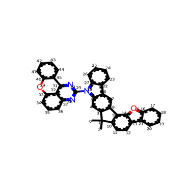 CC1(C)c2cc3c(cc2-c2c1ccc1c2oc2ccccc21)c1ccccc1n3-c1nc2c3c(cccc3n1)Oc1ccccc1-2